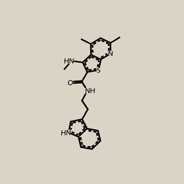 CNc1c(C(=O)NCCc2c[nH]c3ccccc23)sc2nc(C)cc(C)c12